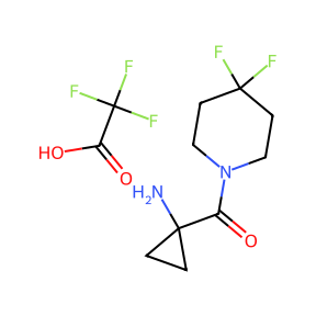 NC1(C(=O)N2CCC(F)(F)CC2)CC1.O=C(O)C(F)(F)F